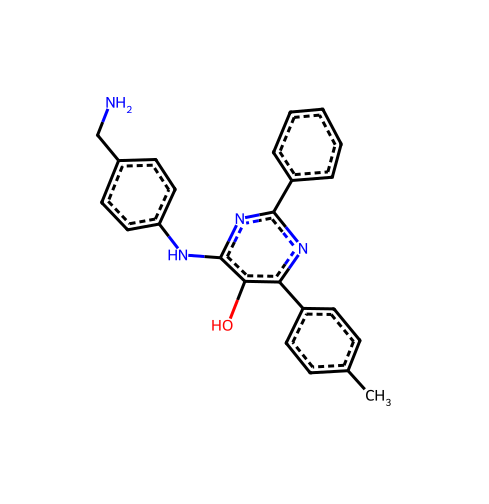 Cc1ccc(-c2nc(-c3ccccc3)nc(Nc3ccc(CN)cc3)c2O)cc1